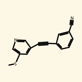 CSc1cncc(C#Cc2cccc(C#N)c2)c1